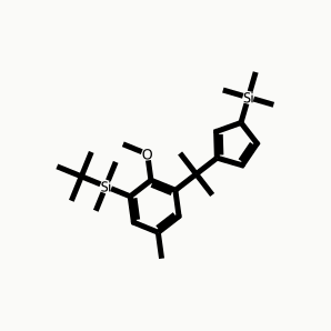 COc1c(C(C)(C)C2=CC([Si](C)(C)C)C=C2)cc(C)cc1[Si](C)(C)C(C)(C)C